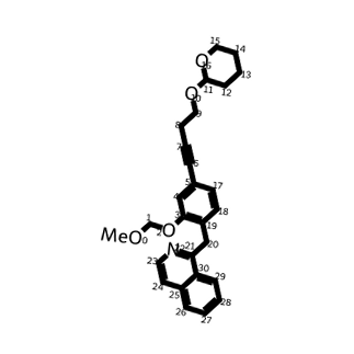 COCOc1cc(C#CCCOC2CCCCO2)ccc1Cc1nccc2ccccc12